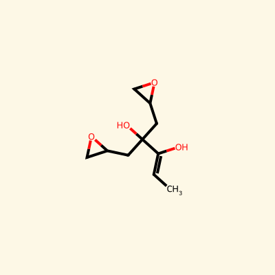 CC=C(O)C(O)(CC1CO1)CC1CO1